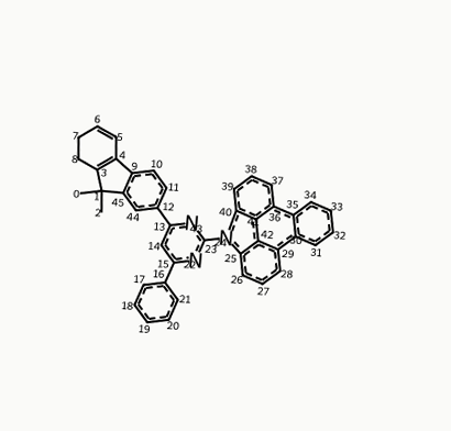 CC1(C)C2=C(C=CCC2)c2ccc(-c3cc(-c4ccccc4)nc(-n4c5cccc6c7ccccc7c7cccc4c7c65)n3)cc21